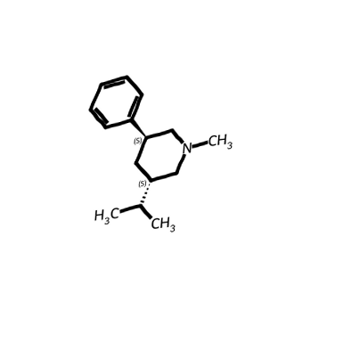 CC(C)[C@@H]1C[C@@H](c2ccccc2)CN(C)C1